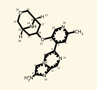 Cc1cc(-c2cn3cc(N)nc3cn2)c(OC2C[C@H]3COC[C@@H](C2)N3)cn1